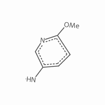 COc1ccc([NH])cn1